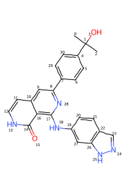 CC(C)(O)c1ccc(-c2cc3cc[nH]c(=O)c3c(Nc3ccc4cn[nH]c4c3)n2)cc1